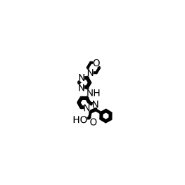 O=C(O)c1c(-c2ccccc2)nc2c(Nc3cc(N4CCOCC4)ncn3)cccn12